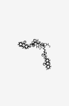 CC(C)(CCCCOC(=O)COc1ccc2sc3c(c(=O)c2c1)=CCCC=3)OCCCCC(C)(C)OC(=O)COc1ccc2sc3ccccc3c(=O)c2c1